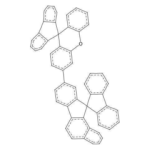 c1ccc2c(c1)Oc1cc(-c3ccc4c(c3)C3(c5ccccc5-c5ccccc53)c3c-4ccc4ccccc34)ccc1C21c2ccccc2-c2ccccc21